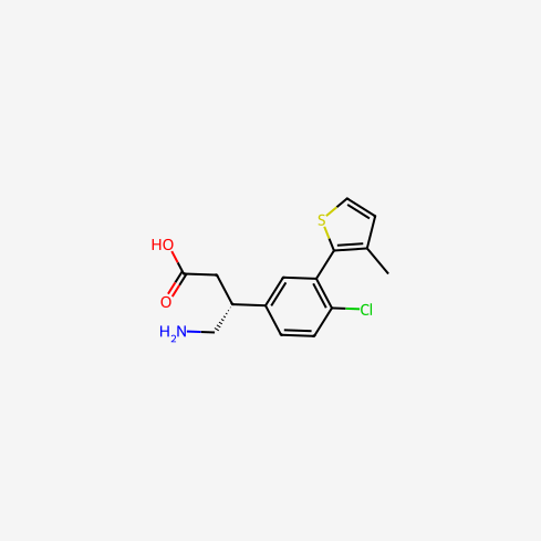 Cc1ccsc1-c1cc([C@H](CN)CC(=O)O)ccc1Cl